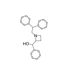 OC(c1ccccc1)C1CCN1CC(c1ccccc1)c1ccccc1